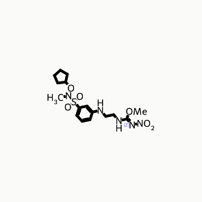 CO/C(=N\[N+](=O)[O-])NCCNc1cccc(S(=O)(=O)N(C)OC2CCCC2)c1